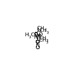 CCC(CC)c1cc(C)n2nc(-c3ccc(N4CCCCC4)cc3C)n(C)c(=O)c12